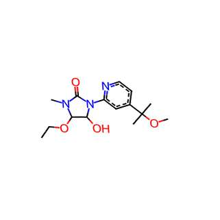 CCOC1C(O)N(c2cc(C(C)(C)OC)ccn2)C(=O)N1C